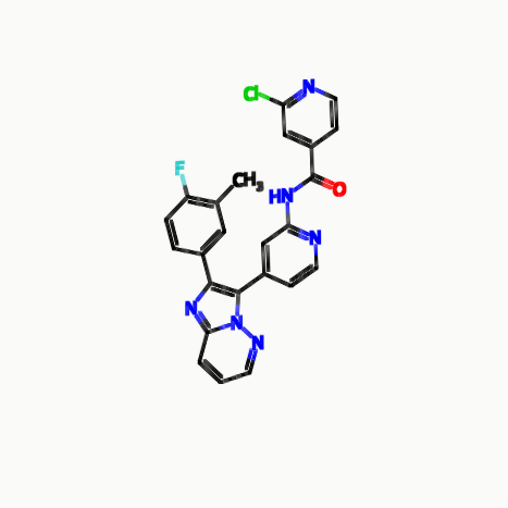 Cc1cc(-c2nc3cccnn3c2-c2ccnc(NC(=O)c3ccnc(Cl)c3)c2)ccc1F